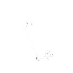 C[Si](C)(C)C#CCCCCCCCCCCCCCCSCCOP(=O)(O)COCCn1cnc2c(=O)[nH]c(N)nc21